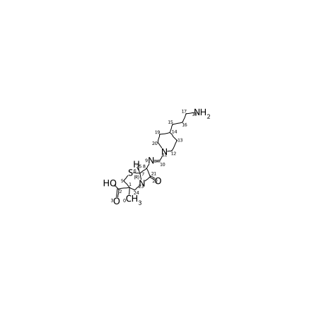 CC1(C(=O)O)CS[C@@H]2C(N=CN3CCC(CCCN)CC3)C(=O)N2C1